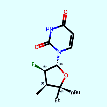 CCCC[C@]1(CC)O[C@@H](n2ccc(=O)[nH]c2=O)[C@H](F)[C@@H]1C